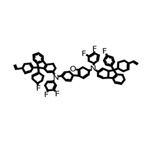 C=CC1=CCC(C2(c3ccc(F)cc3)C3=C(C=CCC3)C3C=CC(N(C4C=CC(F)=C(F)C4)C4C=CC5=C(C4)OC4C=C(N(C6=CCC(F)C(F)=C6)C6=CC7=C(CC6)c6ccccc6C7(C6=CCC(C=C)C=C6)C6=CCC(F)CC6)C=CC54)=CC32)CC1